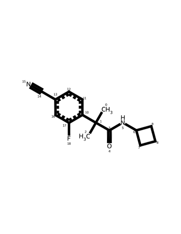 CC(C)(C(=O)NC1CCC1)c1ccc(C#N)cc1F